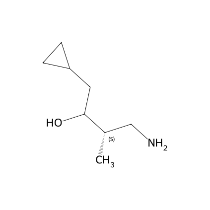 C[C@@H](CN)C(O)CC1CC1